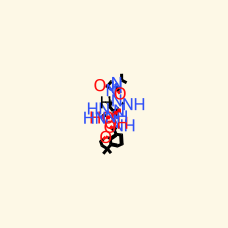 CC(C)N1CC(=O)N(C[C@@H]2NC(=N)N3CC(NC(=O)c4cccc5c4OCCC5(C)C)C(O)(O)[C@@]34NC(=N)N[C@@H]24)C1=O